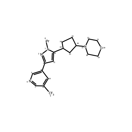 CC(C)n1nc(-c2cncc(C(F)(F)F)c2)cc1C1CCC(N2CCOCC2)C1